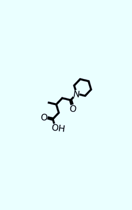 CC(CC(=O)O)CC(=O)N1CCCCC1